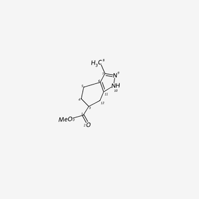 COC(=O)C1CCc2c(C)n[nH]c2C1